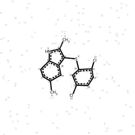 Cc1ccc2[nH]c(C)c(Sc3cc(Cl)ccc3Cl)c2c1